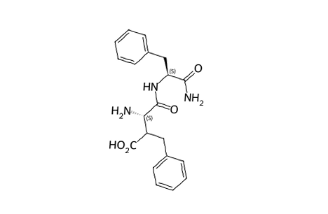 NC(=O)[C@H](Cc1ccccc1)NC(=O)[C@@H](N)C(Cc1ccccc1)C(=O)O